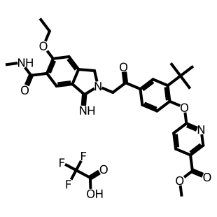 CCOc1cc2c(cc1C(=O)NC)C(=N)N(CC(=O)c1ccc(Oc3ccc(C(=O)OC)cn3)c(C(C)(C)C)c1)C2.O=C(O)C(F)(F)F